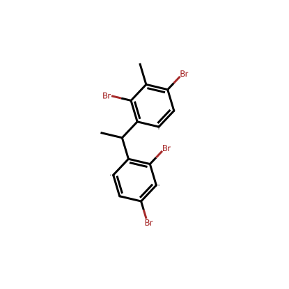 Cc1c(Br)c[c]c(C(C)c2[c]cc(Br)[c]c2Br)c1Br